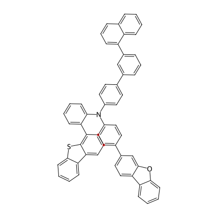 c1cc(-c2ccc(N(c3ccc(-c4ccc5c(c4)oc4ccccc45)cc3)c3ccccc3-c3cccc4c3sc3ccccc34)cc2)cc(-c2cccc3ccccc23)c1